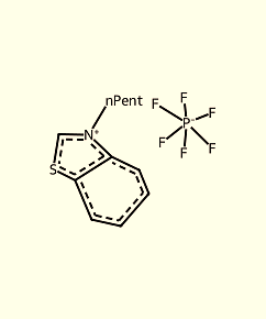 CCCCC[n+]1csc2ccccc21.F[P-](F)(F)(F)(F)F